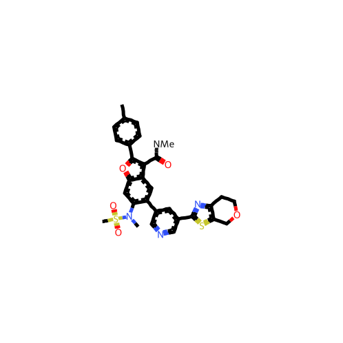 CNC(=O)c1c(-c2ccc(C)cc2)oc2cc(N(C)S(C)(=O)=O)c(-c3cncc(-c4nc5c(s4)COCC5)c3)cc12